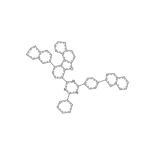 c1ccc(-c2nc(-c3ccc(-c4ccc5ccccc5c4)cc3)nc(-c3ccc(-c4ccc5ccccc5c4)c4c3oc3ccc5ccccc5c34)n2)cc1